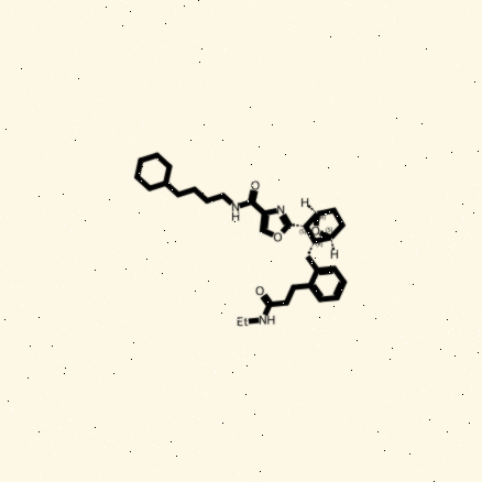 CCNC(=O)CCc1ccccc1C[C@@H]1[C@H](c2nc(C(=O)NCCCCC3CCCCC3)co2)[C@H]2CC[C@@H]1O2